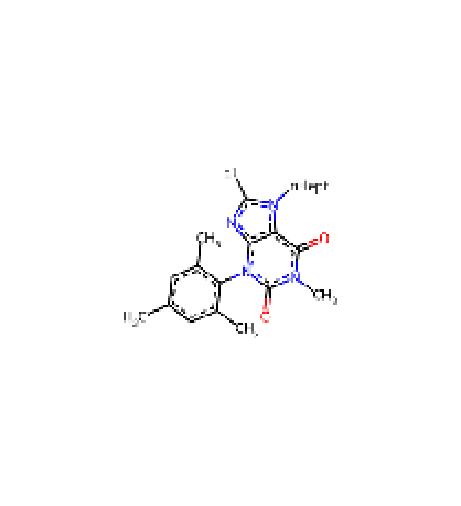 CCCCCCCn1c(CC)nc2c1c(=O)n(C)c(=O)n2-c1c(C)cc(C)cc1C